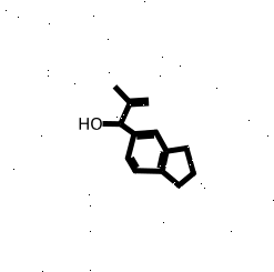 C=C(C)C(O)c1ccc2c(c1)CCC2